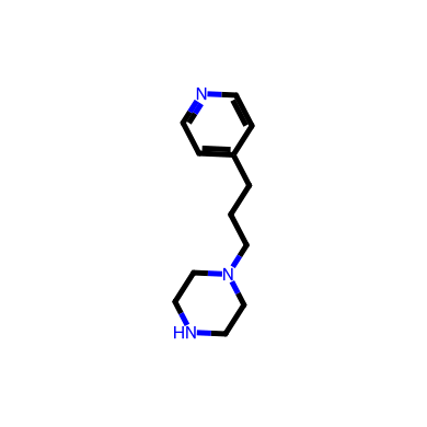 c1cc(CCCN2CCNCC2)ccn1